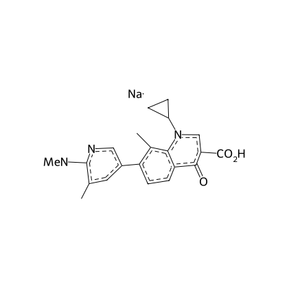 CNc1ncc(-c2ccc3c(=O)c(C(=O)O)cn(C4CC4)c3c2C)cc1C.[Na]